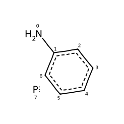 Nc1ccccc1.[P]